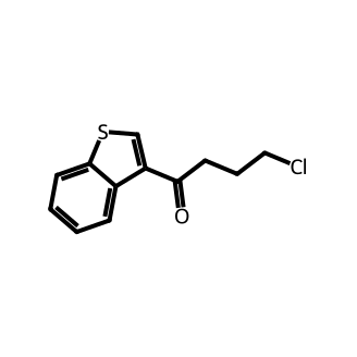 O=C(CCCCl)c1csc2ccccc12